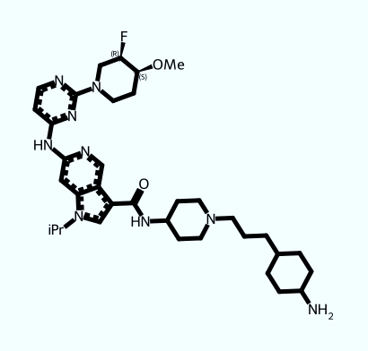 CO[C@H]1CCN(c2nccc(Nc3cc4c(cn3)c(C(=O)NC3CCN(CCCC5CCC(N)CC5)CC3)cn4C(C)C)n2)C[C@H]1F